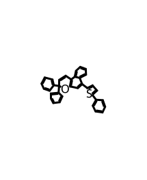 C1=CC(c2ccccc2)(c2ccccc2)Oc2cc(-c3ccc(-c4ccccc4)s3)c3ccccc3c21